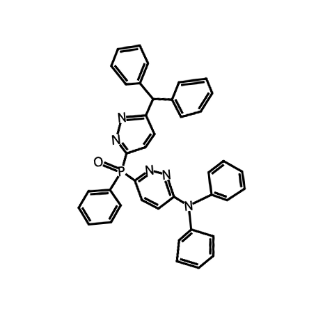 O=P(c1ccccc1)(c1ccc(C(c2ccccc2)c2ccccc2)nn1)c1ccc(N(c2ccccc2)c2ccccc2)nn1